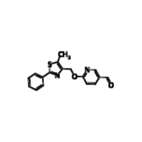 Cc1sc(-c2ccccc2)nc1COc1ccc(C=O)cn1